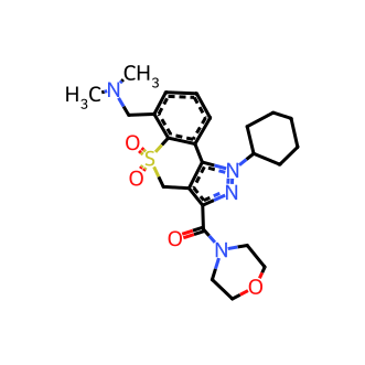 CN(C)Cc1cccc2c1S(=O)(=O)Cc1c(C(=O)N3CCOCC3)nn(C3CCCCC3)c1-2